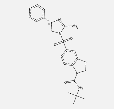 CC(C)(C)NC(=O)N1CCc2cc(S(=O)(=O)N3C[C@H](c4ccccc4)N=C3N)ccc21